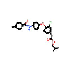 Cc1ccc(C(=O)Nc2ccc(Oc3ccc(CC(=O)OCC(C)C)cc3Cl)cc2)cc1